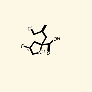 C=C(CCl)CC1(C(=O)O)C[C@H](F)CN1